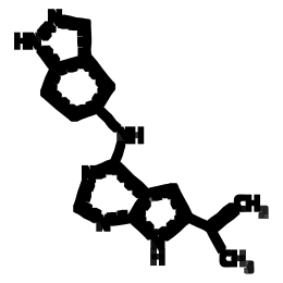 C=C(C)c1cc2c(Nc3ccc4[nH]ncc4c3)ncnc2[nH]1